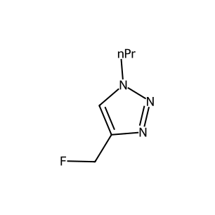 CCCn1cc(CF)nn1